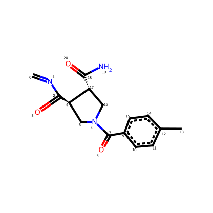 C=NC(=O)[C@@H]1CN(C(=O)c2ccc(C)cc2)C[C@H]1C(N)=O